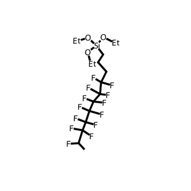 CCO[Si](CCCC(F)(F)C(F)(F)C(F)(F)C(F)(F)C(F)(F)C(F)(F)C(C)F)(OCC)OCC